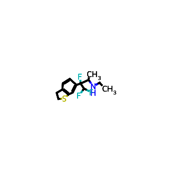 CCNC(C)C(F)(c1ccc2c(c1)SCC2)C(F)F